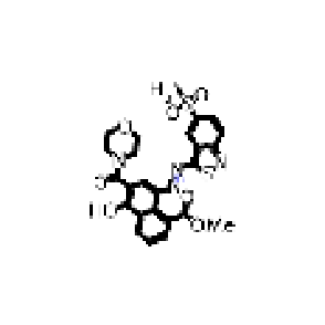 COC(=O)c1cccc2c(O)c(C(=O)N3CCOCC3)cc(/N=N/c3snc4ccc(S(N)(=O)=O)cc34)c12